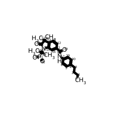 CCCCc1ccc(NC(=O)c2ccc3c(c2)N(C(C)(C)P(=O)=O)C(=O)C3(C)C)cc1